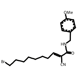 COc1ccc(CNC(=O)C(C#N)=CCCCCCCCBr)cc1